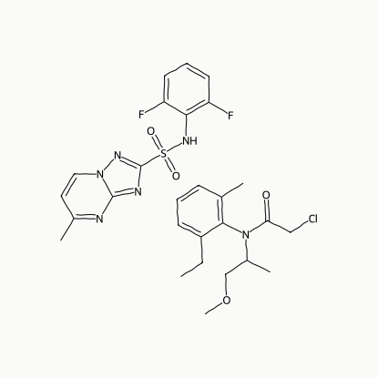 CCc1cccc(C)c1N(C(=O)CCl)C(C)COC.Cc1ccn2nc(S(=O)(=O)Nc3c(F)cccc3F)nc2n1